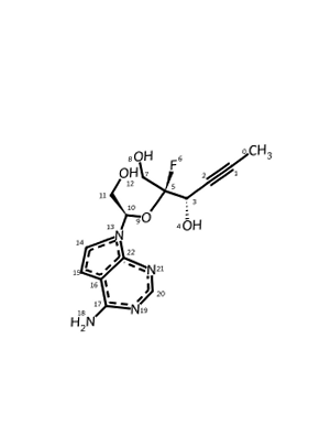 CC#C[C@H](O)[C@@](F)(CO)O[C@H](CO)n1ccc2c(N)ncnc21